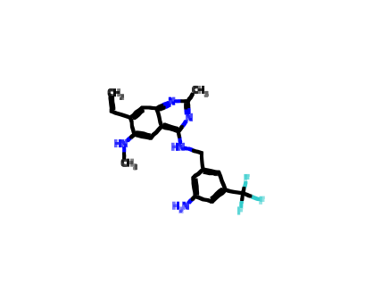 C=Cc1cc2nc(C)nc(NCc3cc(N)cc(C(F)(F)F)c3)c2cc1NC